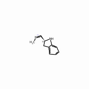 C/N=C\[C@@H]1Cc2ccccc2N1